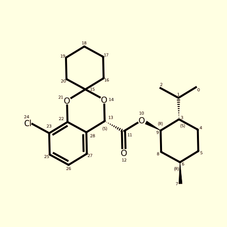 CC(C)[C@@H]1CC[C@@H](C)C[C@H]1OC(=O)[C@H]1OC2(CCCCC2)Oc2c(Cl)cccc21